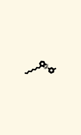 CCCCCCCCc1cccc2nn(-c3cccc(C)c3)nc12